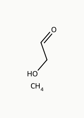 C.O=CCO